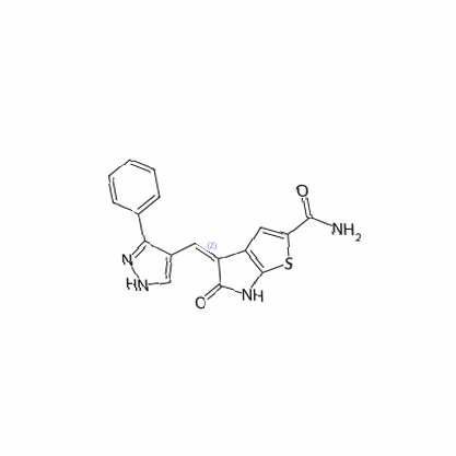 NC(=O)c1cc2c(s1)NC(=O)/C2=C\c1c[nH]nc1-c1ccccc1